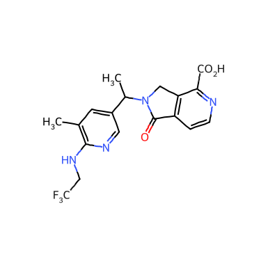 Cc1cc(C(C)N2Cc3c(ccnc3C(=O)O)C2=O)cnc1NCC(F)(F)F